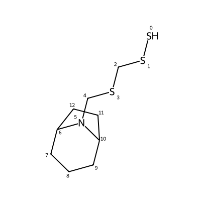 SSCSCN1C2CCCC1CC2